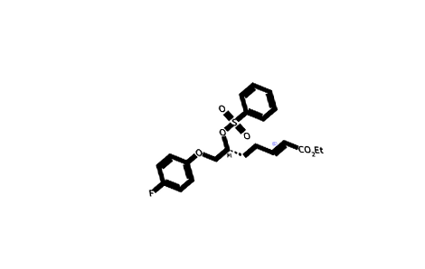 CCOC(=O)/C=C/CC[C@H](COc1ccc(F)cc1)OS(=O)(=O)c1ccccc1